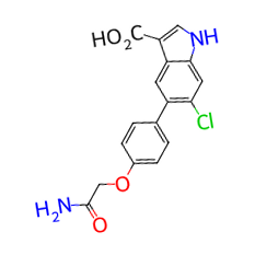 NC(=O)COc1ccc(-c2cc3c(C(=O)O)c[nH]c3cc2Cl)cc1